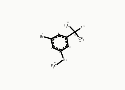 FC(F)(F)Sc1cc(Br)cc(C(F)(C(F)(F)F)C(F)(F)F)c1